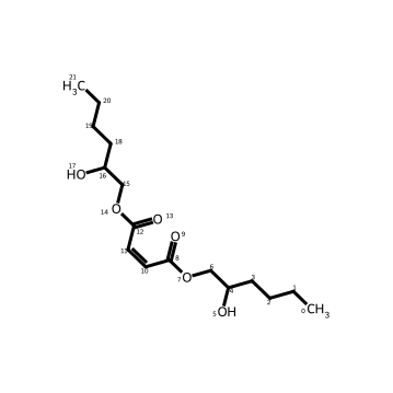 CCCCC(O)COC(=O)/C=C\C(=O)OCC(O)CCCC